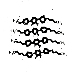 CCCCCc1ccc(-c2ccc(-c3ccc(CC)cc3)c(F)c2F)cc1.CCCCCc1ccc(-c2ccc(-c3ccc(CCC)cc3)c(F)c2F)cc1.CCCCCc1ccc(-c2ccc(-c3ccc(CCCC)cc3)c(F)c2F)cc1.CCCCCc1ccc(-c2ccc(-c3ccc(CCCCC)cc3)c(F)c2F)cc1